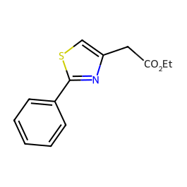 CCOC(=O)Cc1csc(-c2ccccc2)n1